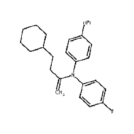 C=C(CCC1CCCCC1)N(c1ccc(F)cc1)c1ccc(CCC)cc1